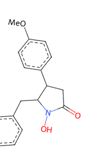 COc1ccc(C2CC(=O)N(O)C2Cc2ccccc2)cc1